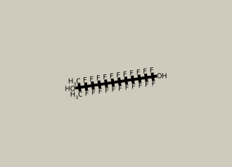 CC(C)(O)C(F)(F)C(F)(F)C(F)(F)C(F)(F)C(F)(F)C(F)(F)C(F)(F)C(F)(F)C(F)(F)C(F)(F)C(O)(F)F